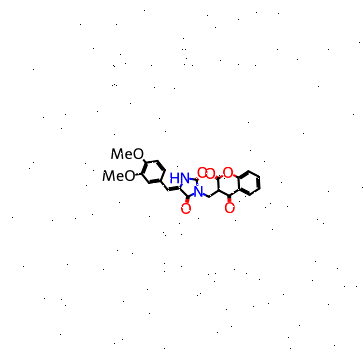 COc1ccc(C=C2NC(=O)N(CC3C(=O)Oc4ccccc4C3=O)C2=O)cc1OC